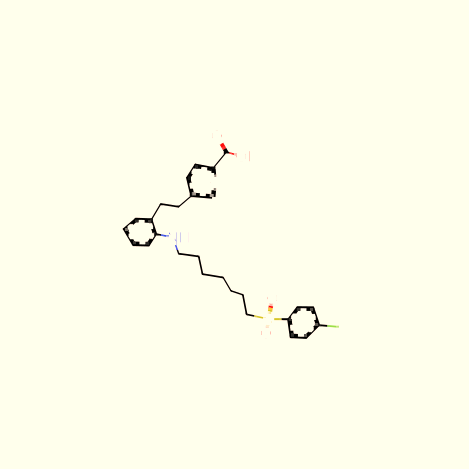 O=C(O)c1ccc(CCc2ccccc2NCCCCCCCS(=O)(=O)c2ccc(F)cc2)cc1